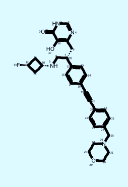 O=c1[nH]cnc(C[C@@H](CN[C@H]2C[C@H](F)C2)c2ccc(C#Cc3ccc(CN4CCOCC4)cc3)cc2)c1O